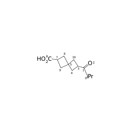 CC(C)C(=O)C1CC2(CC(C(=O)O)C2)C1